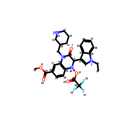 CCn1cc(C2C(=O)N(CC3CCCNC3)c3cc(C(=O)OC)ccc3N2OC(=O)C(F)(F)F)c2ccccc21